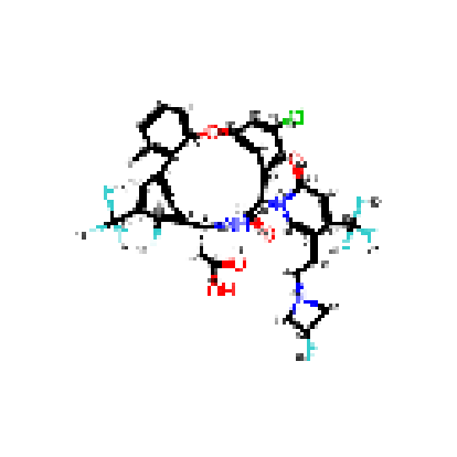 Cc1cccc2c1-c1cc(c(F)c(C(F)(F)F)c1)[C@@H](CC(=O)O)NC(=O)[C@H](n1cc(CCN3CC(F)C3)c(C(F)(F)F)cc1=O)c1cc(Cl)cc(c1)O2